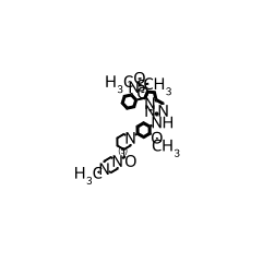 COc1cc(N2CCC[C@H](C(=O)N3CCN(C)CC3)C2)ccc1Nc1ncc2ccc(-c3ccccc3N(C)S(C)(=O)=O)n2n1